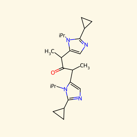 CC(C(=O)C(C)c1cnc(C2CC2)n1C(C)C)c1cnc(C2CC2)n1C(C)C